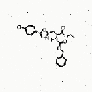 CCOC(=O)[C@H](Cc1ncc(-c2ccc(Cl)cc2)o1)NC(=O)OCc1ccccc1